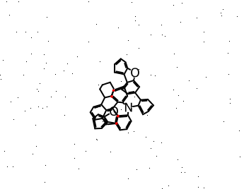 c1ccc(N(c2ccccc2-c2cccc3cccc(C4CCCCC4)c23)c2cccc3c2oc2ccccc23)c(-c2ccc3c(c2)oc2ccccc23)c1